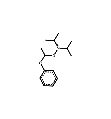 CC(Oc1ccccc1)O[SiH](C(C)C)C(C)C